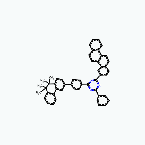 CC1(C)c2ccccc2-c2cc(-c3ccc(-c4nc(-c5ccccc5)nc(-c5ccc6ccc7c8ccccc8ccc7c6c5)n4)cc3)ccc2C1(C)C